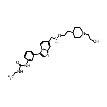 O=C(NCC(F)(F)F)Nc1cccc(-c2cnc3cc(CNOCCC4CCN(CCO)CC4)ccn23)c1